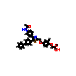 CC(=O)Nc1ccc(-c2nc(COc3ccc(OCC(=O)O)c(C)c3)sc2-c2ccc(-c3ccccc3)cc2)cc1